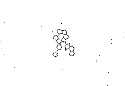 c1ccc(-c2cccc(-c3nc4c(ccc5ccccc54)nc3-n3c4ccc5cccc6c5c4c4c5c(ccc7cccc-6c75)ccc43)c2)cc1